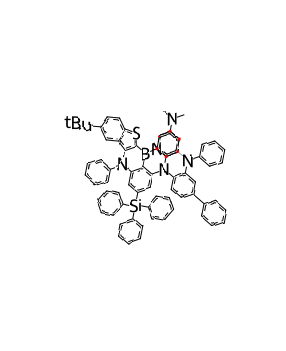 CN(C)c1ccc2c(c1)B1c3sc4ccc(C(C)(C)C)cc4c3N(c3ccccc3)c3cc([Si](c4ccccc4)(c4ccccc4)c4ccccc4)cc(c31)N2c1ccc(-c2ccccc2)cc1N(c1ccccc1)c1cccnc1